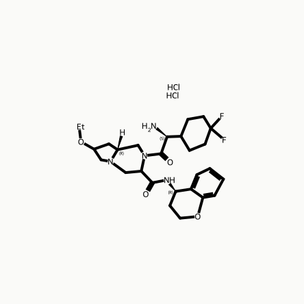 CCOC1C[C@@H]2CN(C(=O)[C@@H](N)C3CCC(F)(F)CC3)C(C(=O)N[C@@H]3CCOc4ccccc43)CN2C1.Cl.Cl